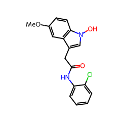 COc1ccc2c(c1)c(CC(=O)Nc1ccccc1Cl)cn2O